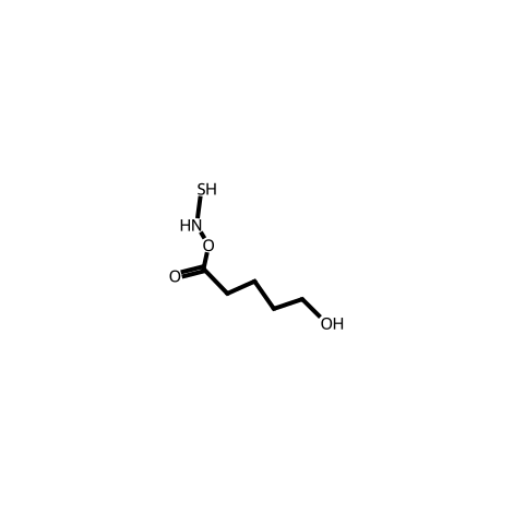 O=C(CCCCO)ONS